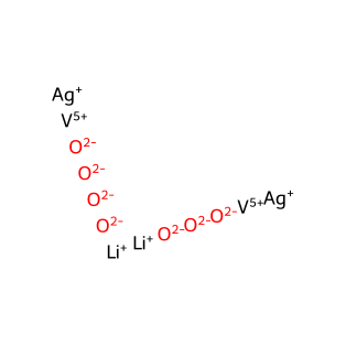 [Ag+].[Ag+].[Li+].[Li+].[O-2].[O-2].[O-2].[O-2].[O-2].[O-2].[O-2].[V+5].[V+5]